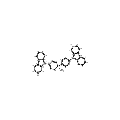 C[C@@]1(c2ccc(-n3c4ccccc4c4ccncc43)cc2)C=CC(n2c3ccccc3c3ccncc32)=CC1